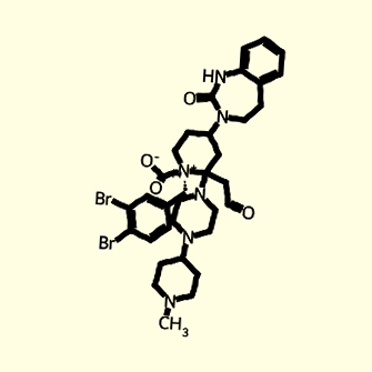 CN1CCC(N2CCN(C3(CC=O)CC(N4CCc5ccccc5NC4=O)CC[N@+]3(Cc3ccc(Br)c(Br)c3)C(=O)[O-])CC2)CC1